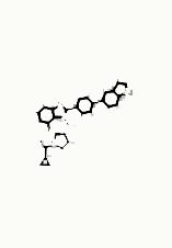 Cc1cccc2nc(-c3ccc(-c4ccc5[nH]ccc5c4)cc3)n(C[C@@H]3CCN(C(=O)C4CC4)C3)c12